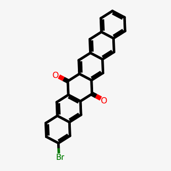 O=C1c2cc3ccc(Br)cc3cc2C(=O)c2cc3cc4ccccc4cc3cc21